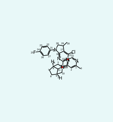 Cc1cc(N2C[C@H]3CC[C@@H](C2)C3Nc2nc(Cl)c3c(n2)N(c2ccc(F)cc2)CC3C)ncn1